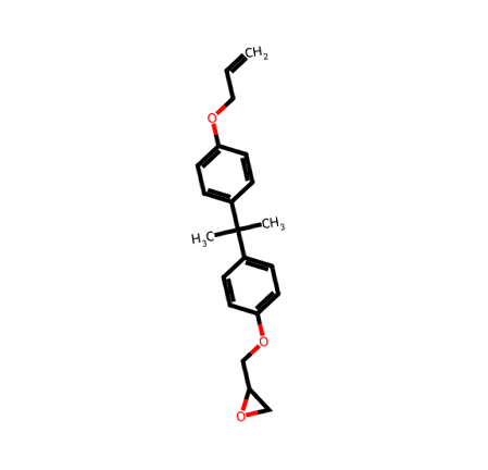 C=CCOc1ccc(C(C)(C)c2ccc(OCC3CO3)cc2)cc1